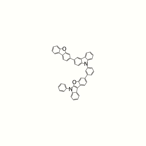 c1ccc(-n2c3ccccc3c3c4ccc(-c5cccc(-n6c7ccccc7c7cc(-c8ccc9c(c8)oc8ccccc89)ccc76)c5)cc4oc32)cc1